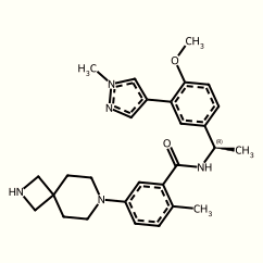 COc1ccc([C@@H](C)NC(=O)c2cc(N3CCC4(CC3)CNC4)ccc2C)cc1-c1cnn(C)c1